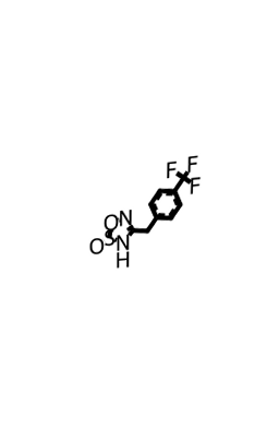 O=S1NC(Cc2ccc(C(F)(F)F)cc2)=NO1